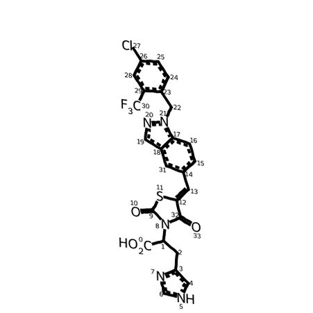 O=C(O)C(Cc1c[nH]cn1)N1C(=O)SC(=Cc2ccc3c(cnn3Cc3ccc(Cl)cc3C(F)(F)F)c2)C1=O